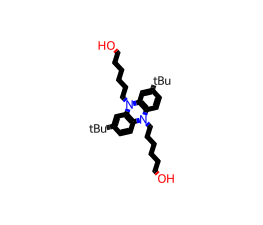 CC(C)(C)c1ccc2c(c1)N(CCCCCCO)c1cc(C(C)(C)C)ccc1N2CCCCCCO